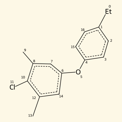 CCc1ccc(Oc2cc(C)c(Cl)c(C)c2)cc1